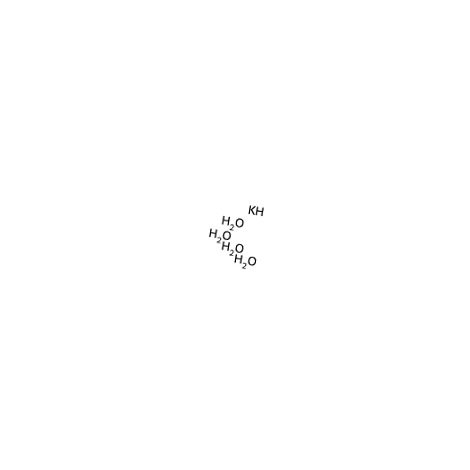 O.O.O.O.[KH]